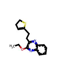 CCOc1nc2ccccc2nc1CCC1=CCCS1